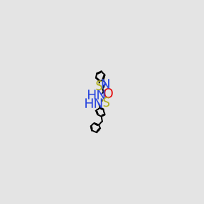 O=C(NC(=S)Nc1ccc(Cc2ccccc2)cc1)c1nc2ccccc2s1